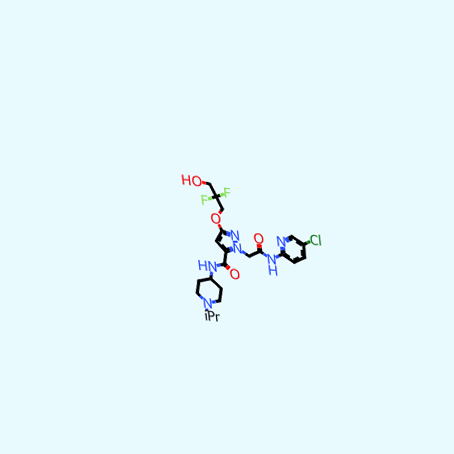 CC(C)N1CCC(NC(=O)c2cc(OCC(F)(F)CO)nn2CC(=O)Nc2ccc(Cl)cn2)CC1